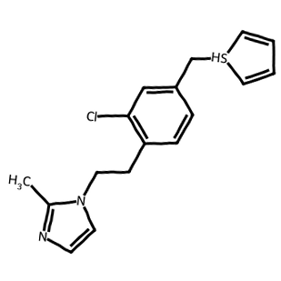 Cc1nccn1CCc1ccc(C[SH]2C=CC=C2)cc1Cl